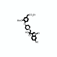 [C-]#[N+]c1ccc2c(C(O)(CN3CCC(Oc4ccc(CC(=O)OCC)cc4OC)CC3)C(F)(F)F)cn(CC)c2c1